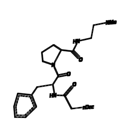 CCCCCCCCCCCC(=O)NC(Cc1ccccc1)C(=O)N1CCCC1C(=O)NCCNC